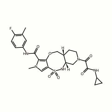 Cc1cc(NC(=O)c2c3c(cn2C)S(=O)(=O)N[C@H]2CN(C(=O)C(=O)NC4CC4)CC[C@H]2CO3)ccc1F